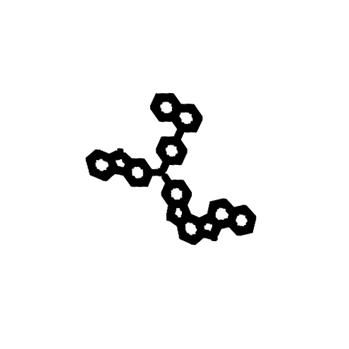 c1ccc2c(-c3ccc(N(c4ccc5c(c4)sc4ccccc45)c4ccc5c(c4)sc4ccc6oc7c8ccccc8ccc7c6c45)cc3)cccc2c1